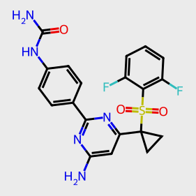 NC(=O)Nc1ccc(-c2nc(N)cc(C3(S(=O)(=O)c4c(F)cccc4F)CC3)n2)cc1